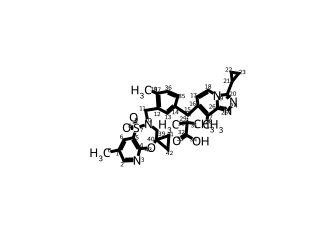 Cc1cnc2c(c1)S(=O)(=O)N(Cc1cc([C@H](c3ccn4c(C5CC5)nnc4c3C)C(C)(C)C(=O)O)ccc1C)CC1(CC1)O2